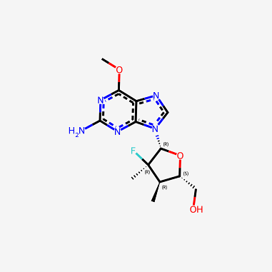 COc1nc(N)nc2c1ncn2[C@@H]1O[C@H](CO)[C@@H](C)[C@@]1(C)F